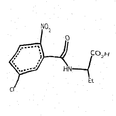 CCC(NC(=O)c1cc(Cl)ccc1[N+](=O)[O-])C(=O)O